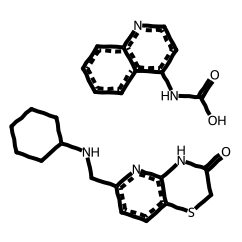 O=C(O)Nc1ccnc2ccccc12.O=C1CSc2ccc(CNC3CCCCC3)nc2N1